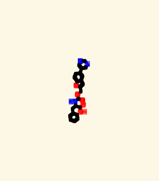 O=C(NC(Cc1ccccc1)C(=O)O)OCc1cc2cc(-c3cncnc3)ccc2o1